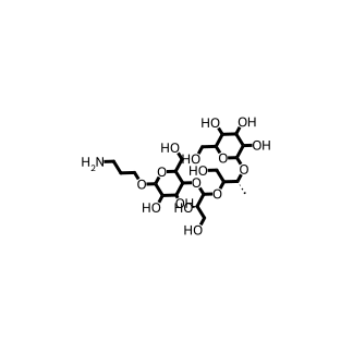 C[C@@H](OC1OC(CO)C(O)C(O)C1O)C(CO)OC(OC1C(CO)OC(OCCCN)C(O)C1O)[C@@H](O)CO